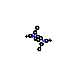 CC(C)(C)c1ccc(N(c2ccc(-c3ccccc3)cc2)c2ccc3ccc4c(N(c5ccc(-c6ccccc6)cc5)c5ccc(C(C)(C)C)cc5)ccc5ccc2c3c54)cc1